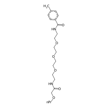 CCCOCC(=O)NCCOCCOCCOCCNC(=O)c1ccc(C)cc1